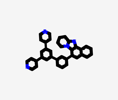 c1cc(-c2cc(-c3ccncc3)cc(-c3ccncc3)c2)cc(-c2cc3ccccc3c3nc4ccccn4c23)c1